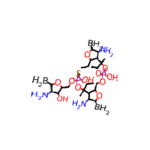 BC1OC(COP(O)(=S)OC(C)(CC)C2C(COP(=O)(O)OC(C)(CC)C3C(CC)OC(B)C3N)OC(B)C2N)C(O)C1N